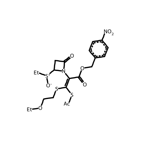 CCOCCSC(SC(C)=O)=C(C(=O)OCc1ccc([N+](=O)[O-])cc1)N1C(=O)CC1[S+]([O-])CC